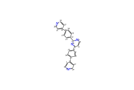 c1cc(-c2ccc(-c3ccnc(-c4ccc(-c5ccncc5)cc4)n3)cc2)ccn1